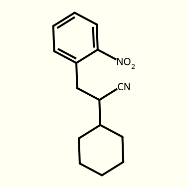 N#CC(Cc1ccccc1[N+](=O)[O-])C1CCCCC1